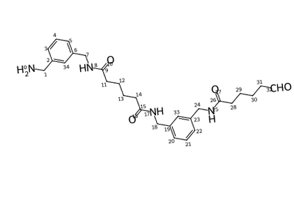 NCc1cccc(CNC(=O)CCCCC(=O)NCc2cccc(CNC(=O)CCCCC=O)c2)c1